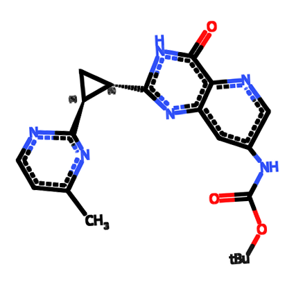 Cc1ccnc([C@H]2C[C@@H]2c2nc3cc(NC(=O)OC(C)(C)C)cnc3c(=O)[nH]2)n1